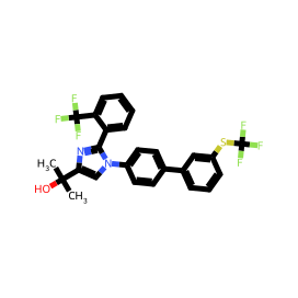 CC(C)(O)c1cn(-c2ccc(-c3cccc(SC(F)(F)F)c3)cc2)c(-c2ccccc2C(F)(F)F)n1